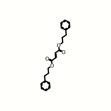 O=C(C=CC(=O)OCCCc1ccccc1)OCCCc1ccccc1